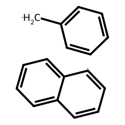 [CH2]c1ccccc1.[c]1cccc2ccccc12